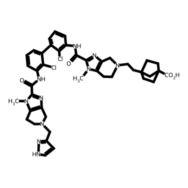 Cn1c(C(=O)Nc2cccc(-c3cccc(NC(=O)c4nc5c(n4C)CCN(Cc4cc[nH]n4)C5)c3Cl)c2Cl)nc2c1CCN(CCC13CCC(C(=O)O)(CC1)C3)C2